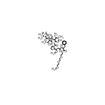 CC[C@H](C)[C@@H]([C@@H](CC(=O)N1CCC[C@H]1[C@@H](CC(=O)N[C@@H](Cc1ccccc1)C(=O)OCCOCCOCCOC)OC)OC)N(C)C(=O)[C@@H](NC(=O)[C@H](C(C)C)N(C)C)C(C)C